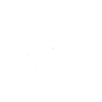 COc1nc(OCC2CCCN2C)nc2c1CCN(c1cccc3cccc(C)c13)C2